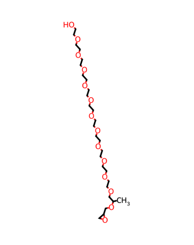 CC(COCCOCCOCCOCCOCCOCCOCCOCCOCCOCCOCCO)OCC1CO1